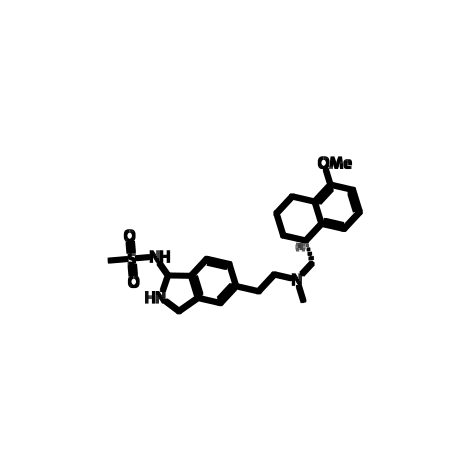 COc1cccc2c1CCC[C@H]2CN(C)CCc1ccc2c(c1)CNC2NS(C)(=O)=O